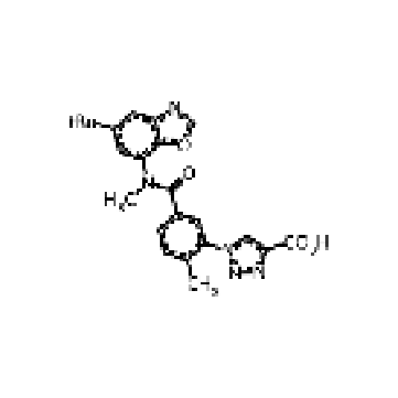 Cc1ccc(C(=O)N(C)c2cc(C(C)(C)C)cc3ncoc23)cc1-n1cc(C(=O)O)nn1